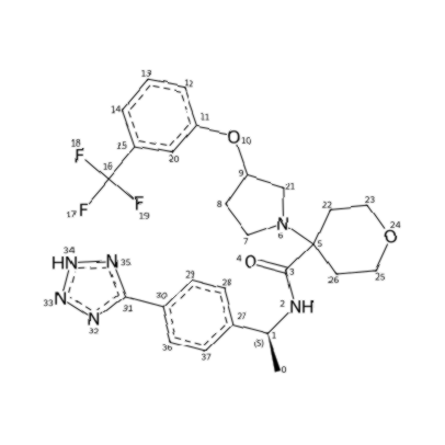 C[C@H](NC(=O)C1(N2CCC(Oc3cccc(C(F)(F)F)c3)C2)CCOCC1)c1ccc(-c2nn[nH]n2)cc1